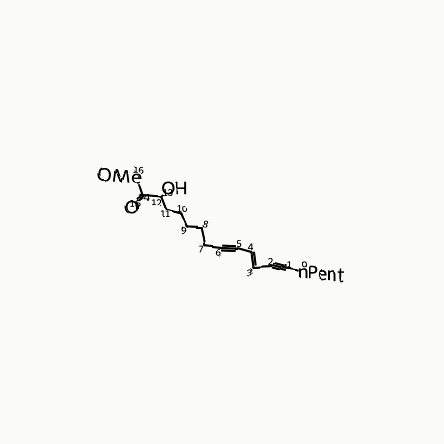 CCCCCC#CC=CC#CCCCCCC(O)C(=O)OC